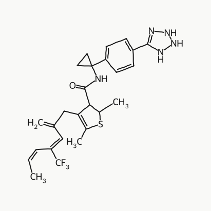 C=C(/C=C(\C=C/C)C(F)(F)F)CC1=C(C)SC(C)C1C(=O)NC1(c2ccc(C3=NNNN3)cc2)CC1